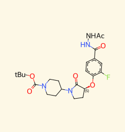 CC(=O)NNC(=O)c1ccc(O[C@H]2CCN(C3CCN(C(=O)OC(C)(C)C)CC3)C2=O)c(F)c1